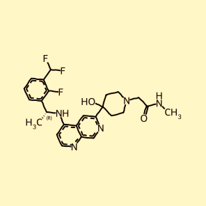 CNC(=O)CN1CCC(O)(c2cc3c(N[C@H](C)c4cccc(C(F)F)c4F)ccnc3cn2)CC1